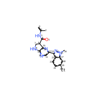 C=C(C)NC(=O)C1CNc2ncc(-c3nn(C)c4cc(CC)ccc34)nc21